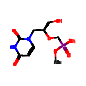 CCCCOP(=O)(O)CO[C@H](CO)Cn1ccc(=O)[nH]c1=O